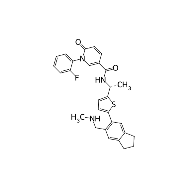 CNCc1cc2c(cc1-c1ccc([C@@H](C)NC(=O)c3ccc(=O)n(-c4ccccc4F)c3)s1)CCC2